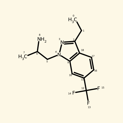 CCc1nn(CC(C)N)c2cc(C(F)(F)F)ccc12